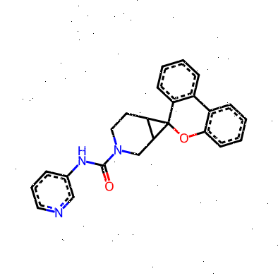 O=C(Nc1cccnc1)N1CCC2C(C1)C21Oc2ccccc2-c2ccccc21